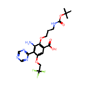 CC(C)(C)OC(=O)NCCCOc1c(C(=O)O)cc(OCC(F)(F)F)c(-c2ncncn2)c1N